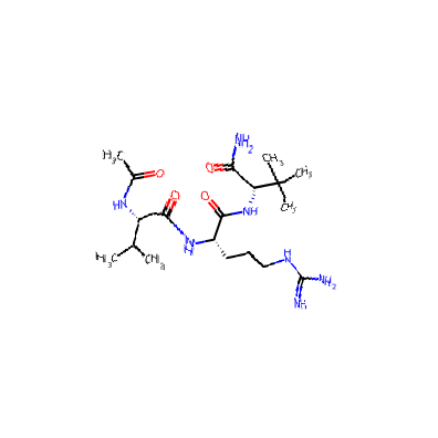 CC(=O)N[C@H](C(=O)N[C@@H](CCCNC(=N)N)C(=O)N[C@H](C(N)=O)C(C)(C)C)C(C)C